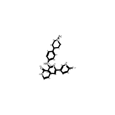 CC(=O)N1CCC(c2ccc(Nc3nc(-c4ccc(F)nc4)cc4c3C(=O)[N]C=C4)cc2)CC1